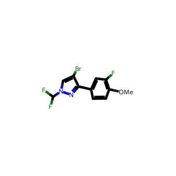 COc1ccc(-c2nn(C(F)F)cc2Br)cc1F